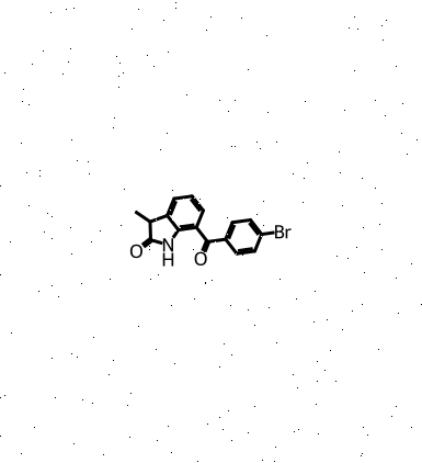 CC1C(=O)Nc2c(C(=O)c3ccc(Br)cc3)cccc21